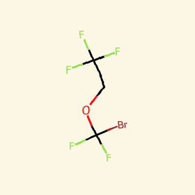 FC(F)(F)COC(F)(F)Br